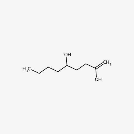 C=C(O)CCC(O)CCCC